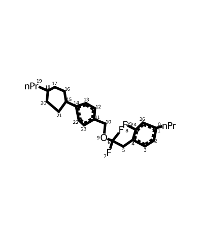 CCCc1ccc(CC(F)(F)OCc2ccc(C3CCC(CCC)CC3)cc2)c(F)c1